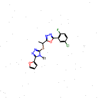 CCn1c(SC(C)c2nnc(-c3cc(Cl)ccc3F)o2)nnc1-c1ccco1